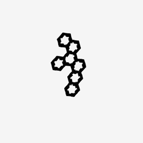 c1ccc2cc3c(ccc4c5ccc6ccccc6c5c5ccccc5c34)cc2c1